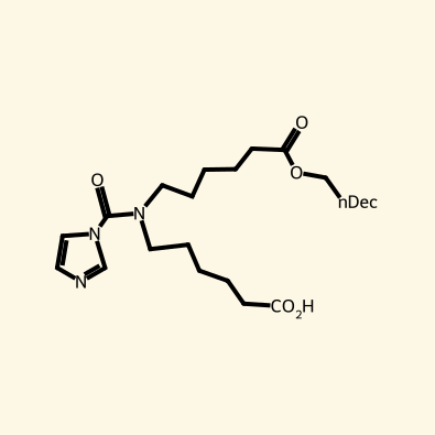 CCCCCCCCCCCOC(=O)CCCCCN(CCCCCC(=O)O)C(=O)n1ccnc1